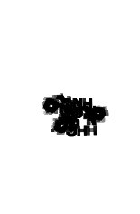 CCCC[C@@H](NC(=O)Cc1c[nH]c2ccccc12)C(=O)N(CC(=O)N1CCC[C@@H]1C(=O)O)CC1CCCCC1